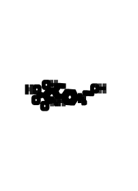 CCc1c(-c2ccc(N(C)CCO)cc2)[nH]c(=O)c(C(=O)O)c1O